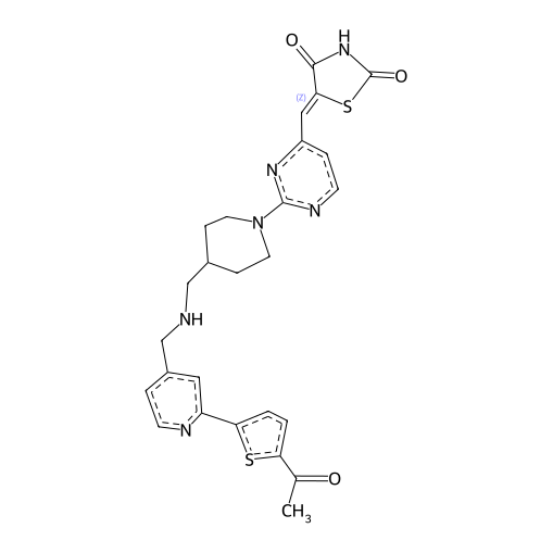 CC(=O)c1ccc(-c2cc(CNCC3CCN(c4nccc(/C=C5\SC(=O)NC5=O)n4)CC3)ccn2)s1